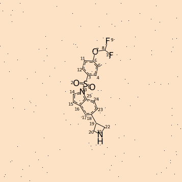 O=S(=O)(c1ccc(OC(F)F)cc1)n1ccc2cc(C3CNC3)ccc21